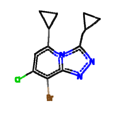 Clc1cc(C2CC2)n2c(C3CC3)nnc2c1Br